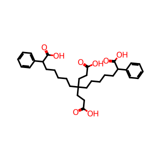 O=C(O)CCC(CCCCCC(C(=O)O)c1ccccc1)(CCCCCC(C(=O)O)c1ccccc1)CCC(=O)O